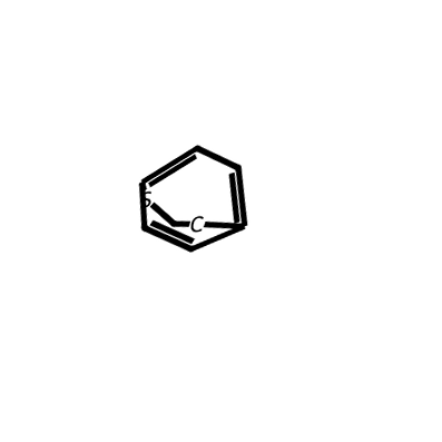 c1cc2ccc1CCS2